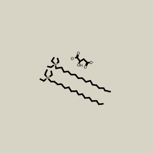 CCCCCCCCCCCCCCCC[N+](CC)(CC)CC.CCCCCCCCCCCCCCCC[N+](CC)(CC)CC.O=C([O-])CC(O)C(=O)[O-]